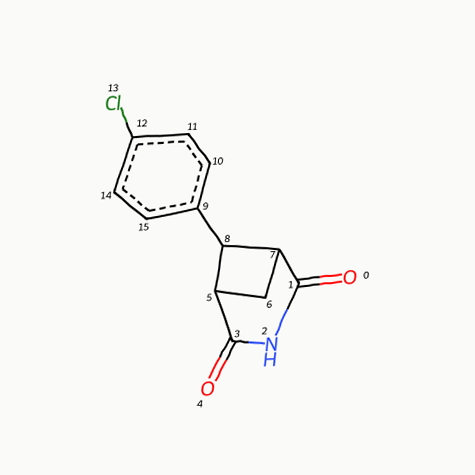 O=C1NC(=O)C2CC1C2c1ccc(Cl)cc1